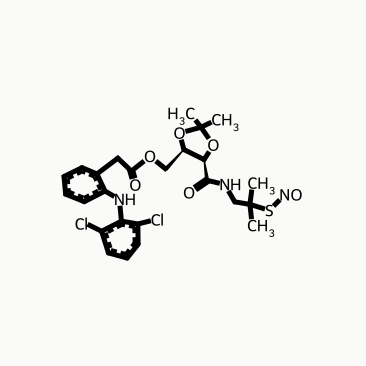 CC1(C)O[C@H](COC(=O)Cc2ccccc2Nc2c(Cl)cccc2Cl)[C@H](C(=O)NCC(C)(C)SN=O)O1